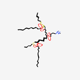 CCCCCCCCCC(=O)OC(CCCCC1(CCCCC(CSCCCCC)OC(=O)CCCCCCCCC)OCC(CCN(C)C)O1)CSCCCCC